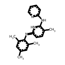 Cc1cc(C)c(/N=c2\ccc(C)c(Nc3ccccn3)[nH]2)c(C)c1